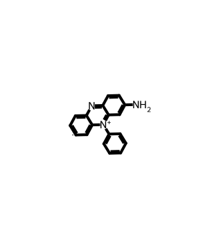 Nc1ccc2nc3cc[c]cc3[n+](-c3ccccc3)c2c1